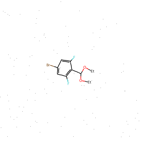 CCOC(OCC)c1c(F)cc(Br)cc1F